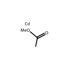 COC(C)=O.[Cd]